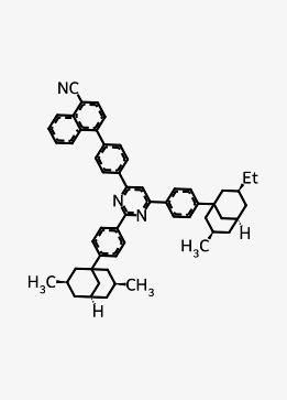 CC[C@H]1C[C@H]2C[C@@H](C)CC(c3ccc(-c4cc(-c5ccc(-c6ccc(C#N)c7ccccc67)cc5)nc(-c5ccc(C67C[C@H](C)C[C@H](C[C@H](C)C6)C7)cc5)n4)cc3)(C2)C1